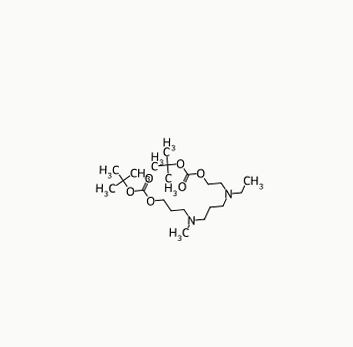 CCN(CCCN(C)CCCOC(=O)OC(C)(C)C)CCOC(=O)OC(C)(C)C